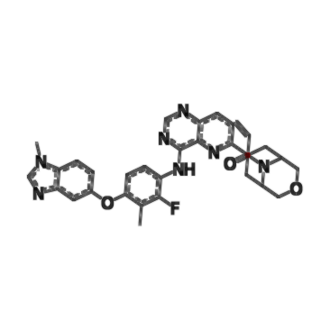 C=CC(=O)N1C2COCC1CC(c1ccc3ncnc(Nc4ccc(Oc5ccc6c(c5)ncn6C)c(C)c4F)c3n1)C2